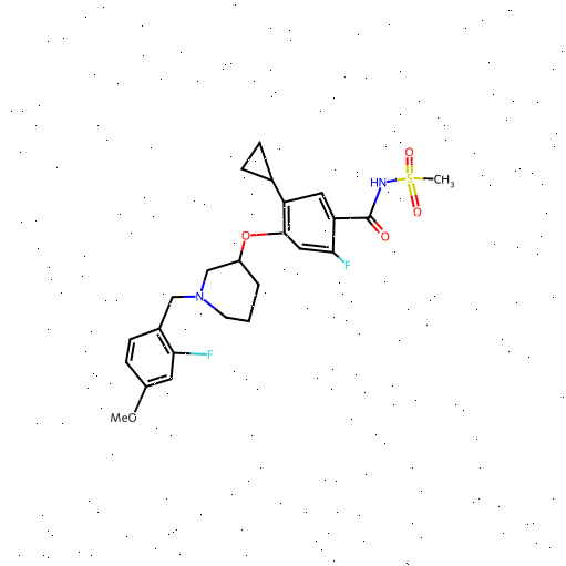 COc1ccc(CN2CCCC(Oc3cc(F)c(C(=O)NS(C)(=O)=O)cc3C3CC3)C2)c(F)c1